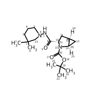 CC1(C)CCCN(NC(=O)[C@@H]2C[C@H]3C[C@H]3N2C(=O)OC(C)(C)C)C1